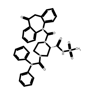 CS(=O)(=O)NC(=O)[C@@H]1CN(C(=O)N(c2ccccc2)c2ccccc2)CCN1C(=O)N1c2ccccc2CC(=O)c2ccccc21